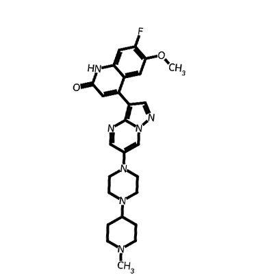 COc1cc2c(-c3cnn4cc(N5CCN(C6CCN(C)CC6)CC5)cnc34)cc(=O)[nH]c2cc1F